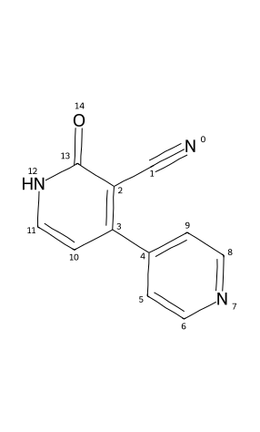 N#Cc1c(-c2ccncc2)cc[nH]c1=O